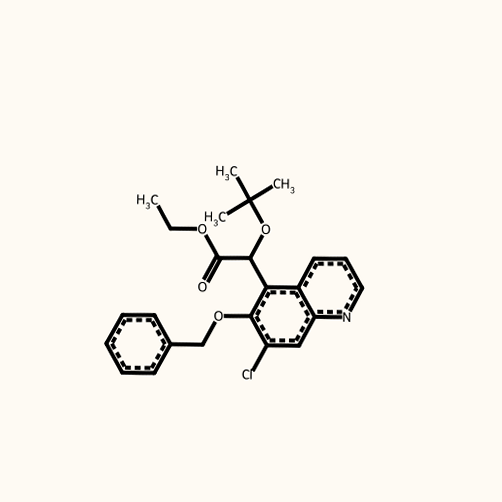 CCOC(=O)C(OC(C)(C)C)c1c(OCc2ccccc2)c(Cl)cc2ncccc12